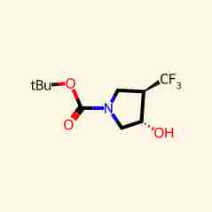 CC(C)(C)OC(=O)N1C[C@@H](O)[C@H](C(F)(F)F)C1